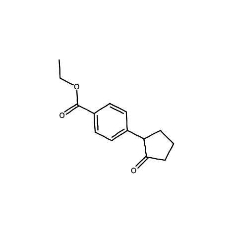 CCOC(=O)c1ccc(C2CCCC2=O)cc1